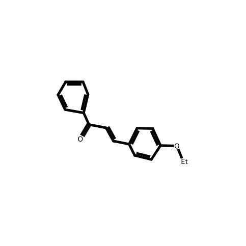 CCOc1ccc(/C=C/C(=O)c2ccccc2)cc1